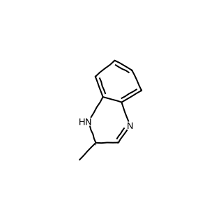 C[C]1C=Nc2ccccc2N1